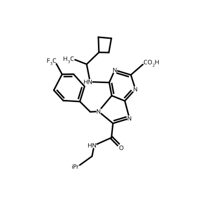 CC(C)CNC(=O)c1nc2nc(C(=O)O)nc(NC(C)C3CCC3)c2n1Cc1ccc(C(F)(F)F)cc1